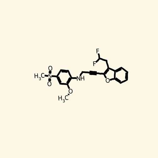 COc1cc(S(C)(=O)=O)ccc1NCC#Cc1oc2ccccc2c1CC(F)F